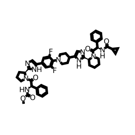 COC(=O)N[C@@H](C(=O)N1CCC[C@H]1c1ncc(-c2cc(F)c(N3CCC(c4cnc([C@@H]5CCCCN5C(=O)[C@H](NC(=O)C5CC5)c5ccccc5)[nH]4)CC3)c(F)c2)[nH]1)c1ccccc1